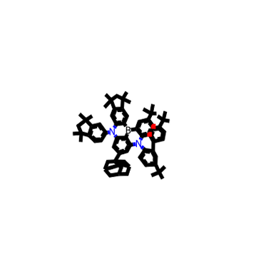 CC(C)(C)c1ccc(-c2cc(C(C)(C)C)ccc2N2c3ccc(C(C)(C)C)cc3B3c4cc5c(cc4N(c4ccc6c(c4)C(C)(C)CC6(C)C)c4cc(C67CC8CC(CC(C8)C6)C7)cc2c43)C(C)(C)CC5(C)C)cc1